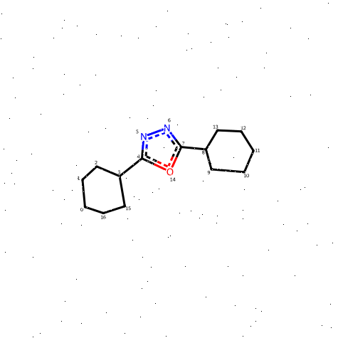 C1CCC(c2nnc(C3CCCCC3)o2)CC1